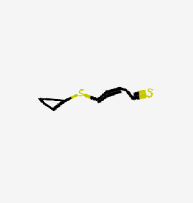 S=CC=CS[C]1CC1